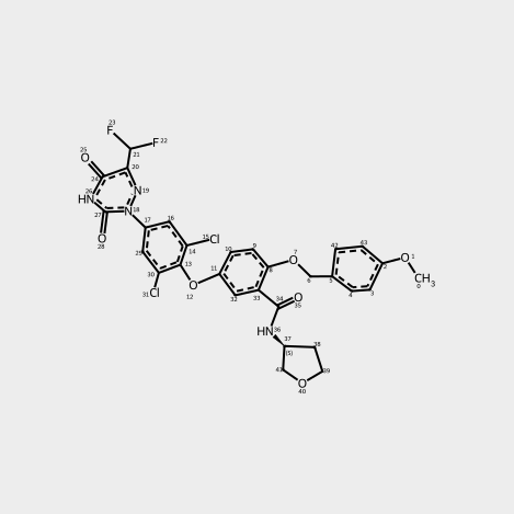 COc1ccc(COc2ccc(Oc3c(Cl)cc(-n4nc(C(F)F)c(=O)[nH]c4=O)cc3Cl)cc2C(=O)N[C@H]2CCOC2)cc1